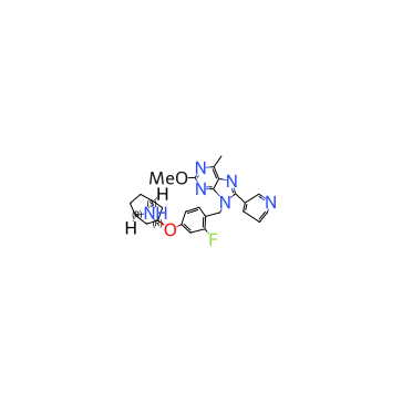 COc1nc(C)c2nc(-c3cccnc3)n(Cc3ccc(O[C@H]4C[C@H]5CC[C@@H](C4)N5)cc3F)c2n1